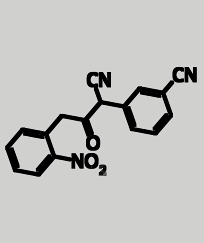 N#Cc1cccc(C(C#N)C(=O)Cc2ccccc2[N+](=O)[O-])c1